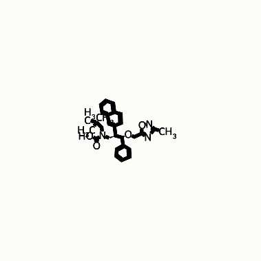 Cc1noc(CO[C@H](c2ccccc2)[C@H](CN(CC(C)(C)C)C(=O)O)c2ccc3ccccc3c2)n1